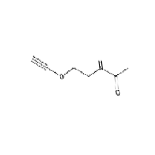 C#COCCNC(C)=O